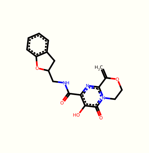 C=C1OCCn2c1nc(C(=O)NCC1Cc3ccccc3O1)c(O)c2=O